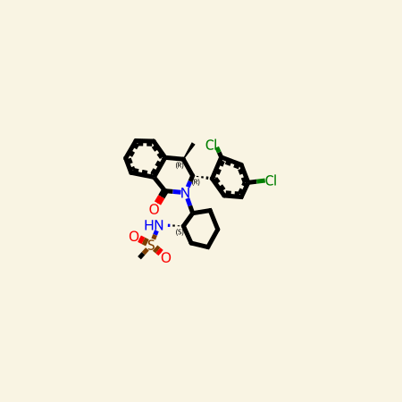 C[C@@H]1c2ccccc2C(=O)N(C2CCCC[C@@H]2NS(C)(=O)=O)[C@H]1c1ccc(Cl)cc1Cl